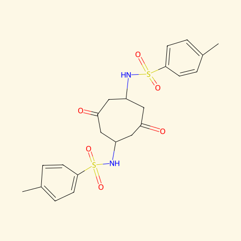 Cc1ccc(S(=O)(=O)NC2CC(=O)CC(NS(=O)(=O)c3ccc(C)cc3)CC(=O)C2)cc1